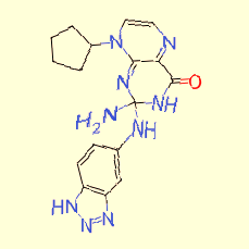 NC1(Nc2ccc3[nH]nnc3c2)N=C2C(=NC=CN2C2CCCC2)C(=O)N1